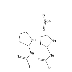 S=C([S-])NC1NCCS1.S=C([S-])NC1NCCS1.[O]=[Mo+2]=[O]